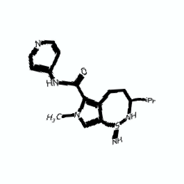 CC(C)C1CCc2c(cn(C)c2C(=O)Nc2ccncc2)S(=N)N1